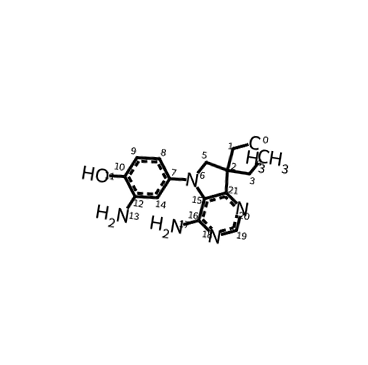 CCC1(CC)CN(c2ccc(O)c(N)c2)c2c(N)ncnc21